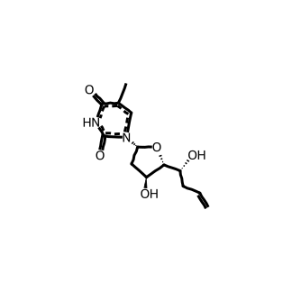 C=CC[C@@H](O)[C@H]1O[C@@H](n2cc(C)c(=O)[nH]c2=O)C[C@@H]1O